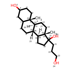 C[C@]12CCC(O)CC1CC[C@@H]1[C@@H]2CC[C@@]2(C)[C@H]1CCC2(O)CCCO